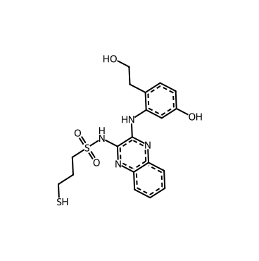 O=S(=O)(CCCS)Nc1nc2ccccc2nc1Nc1cc(O)ccc1CCO